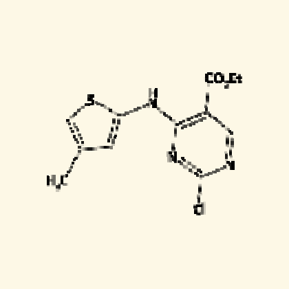 CCOC(=O)c1cnc(Cl)nc1Nc1cc(C)cs1